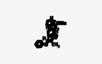 CO[C@@H]1C[C@H]2[C@@H]3CC[C@H]([C@H](C)COc4ccccc4)[C@@]3(C)CC[C@@H]2[C@@]2(C)CC[C@@H]3CC312